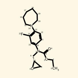 CCOC(=O)N(C[C@@H]1CO1)c1ccc(N2CCCCCC2)c(F)c1